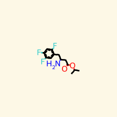 CC(C)OC(=O)CC(N)Cc1cc(F)c(F)cc1F